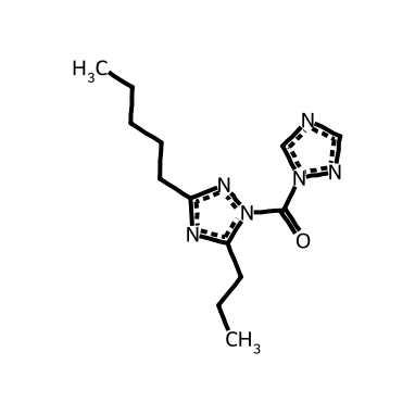 CCCCCc1nc(CCC)n(C(=O)n2cncn2)n1